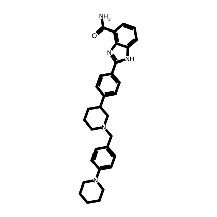 NC(=O)c1cccc2[nH]c(-c3ccc(C4CCCN(Cc5ccc(N6CCCCC6)cc5)C4)cc3)nc12